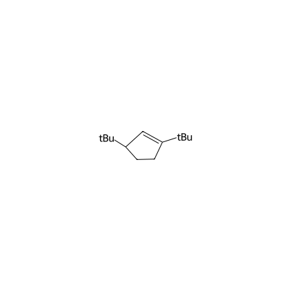 CC(C)(C)C1=CC(C(C)(C)C)CC1